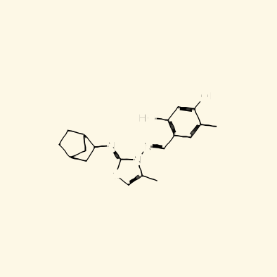 Cc1cc(/C=N/n2c(C)cs/c2=N\C2CC3CCC2C3)c(O)cc1O